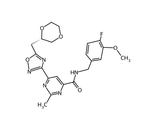 COc1cc(CNC(=O)c2cc(-c3noc(C[C@H]4COCCO4)n3)nc(C)n2)ccc1F